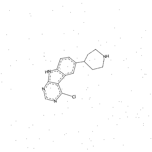 Clc1ncnc2[nH]c3ccc(C4CCNCC4)cc3c12